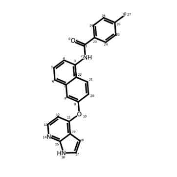 O=C(Nc1cccc2cc(Oc3ccnc4[nH]ccc34)ccc12)c1ccc(F)cc1